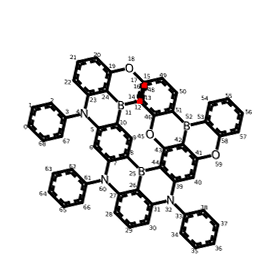 c1ccc(N2c3cc4c(cc3B3c5ccccc5Oc5cccc2c53)B2c3c(cccc3N(c3ccccc3)c3cc5c6c(c32)Oc2ccccc2B6c2ccccc2O5)N4c2ccccc2)cc1